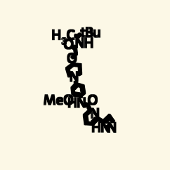 COc1cc(N2CCC(OCC(=O)NC(C)C(C)(C)C)CC2)ccc1NC(=O)c1cccc(-c2ccn[nH]2)n1